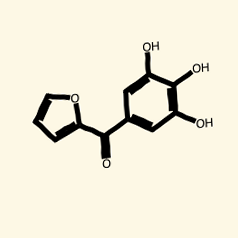 O=C(c1cc(O)c(O)c(O)c1)c1ccco1